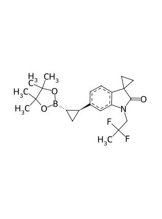 CC(F)(F)CN1C(=O)C2(CC2)c2ccc([C@H]3C[C@@H]3B3OC(C)(C)C(C)(C)O3)cc21